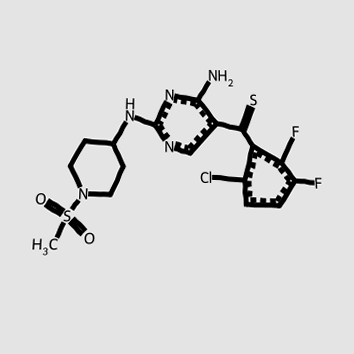 CS(=O)(=O)N1CCC(Nc2ncc(C(=S)c3c(Cl)ccc(F)c3F)c(N)n2)CC1